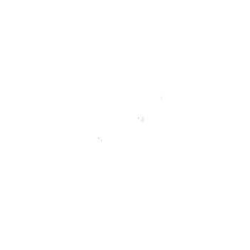 NS(=O)(=O)NC(=O)O